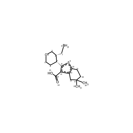 BC[C@H]1COCC[C@H]1c1sc2c(c1C(=O)O)CC(C)(C)CC2